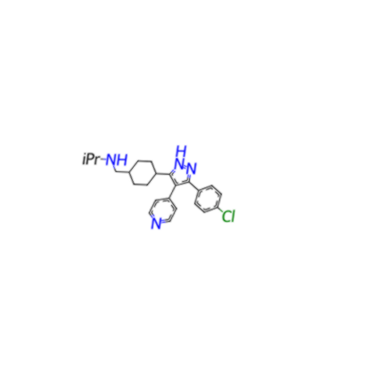 CC(C)NCC1CCC(c2[nH]nc(-c3ccc(Cl)cc3)c2-c2ccncc2)CC1